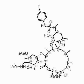 CCCNC[C@]1(O)[C@H](C)O[C@@H](O[C@H]2[C@H](C)[C@@H](O[C@@H]3O[C@H](C)C[C@H](N(C)S(=O)(=O)Nc4ccc(F)cc4)[C@H]3O)[C@](C)(O)C[C@@H](C)CN[C@H](C)[C@@H](O)[C@](C)(O)[C@@H](CC)OC(=O)[C@@H]2C)C[C@@]1(C)OC